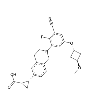 CO[C@H]1C[C@H](Oc2cc(C#N)c(F)c(N3CCc4cc([C@@H]5CC5C(=O)O)ccc4C3)c2)C1